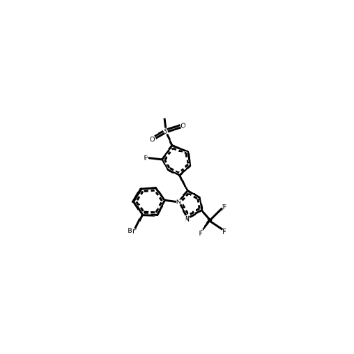 CS(=O)(=O)c1ccc(-c2cc(C(F)(F)F)nn2-c2cccc(Br)c2)cc1F